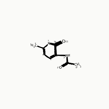 CC(=O)NC1=CC=C(C)[N]C1=O